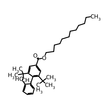 CCCCCCCCCCCCOC(=O)c1cc(C(C)(C)C)c(-c2ccccc2O)c(C(C)(C)C)c1